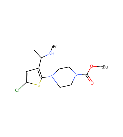 CC(C)NC(C)c1cc(Cl)sc1N1CCN(C(=O)OC(C)(C)C)CC1